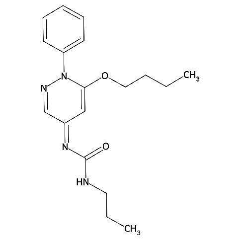 CCCCOc1c/c(=N\C(=O)NCCC)cnn1-c1ccccc1